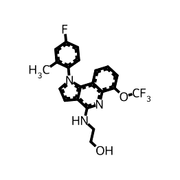 Cc1cc(F)ccc1-n1ccc2c(NCCO)nc3c(OC(F)(F)F)cccc3c21